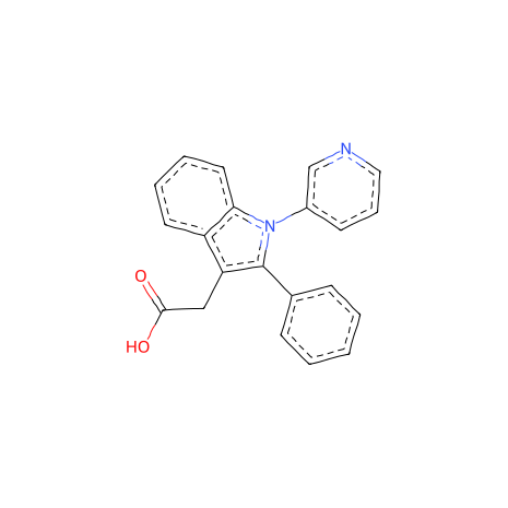 O=C(O)Cc1c(-c2ccccc2)n(-c2cccnc2)c2ccccc12